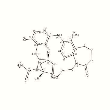 COCCN1C(=O)CCCc2c1ccc(Nc1ncc(Cl)c(NC3C(C(N)=O)[C@H]4C=C[C@@H]3C4)n1)c2OC